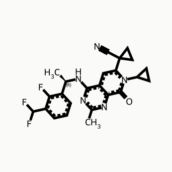 Cc1nc(N[C@H](C)c2cccc(C(F)F)c2F)c2cc(C3(C#N)CC3)n(C3CC3)c(=O)c2n1